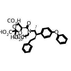 C[C@H]([C@H](CCc1ccccc1)c1ccc(Oc2ccccc2)cc1)N(CC(=O)O)C(=O)[C@H]1OC(C(=O)O)(C(=O)O)O[C@@H]1C(=O)O